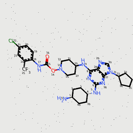 N[C@H]1CC[C@H](Nc2nc(NC3CCN(OC(=O)Nc4ccc(Cl)cc4C(F)(F)F)CC3)c3ncn(C4CCCC4)c3n2)CC1